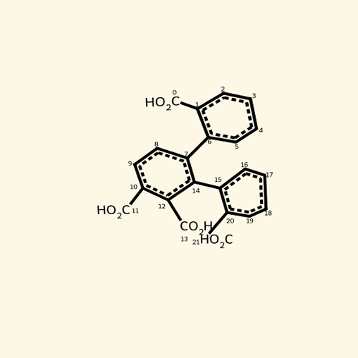 O=C(O)c1ccccc1-c1ccc(C(=O)O)c(C(=O)O)c1-c1ccccc1C(=O)O